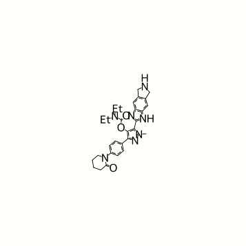 CCN(CC)C(=O)Oc1c(-c2ccc(N3CCCCC3=O)cc2)nn(C)c1-c1nc2cc3c(cc2[nH]1)CNC3